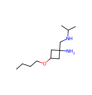 CCCCOC1CC(N)(CNC(C)C)C1